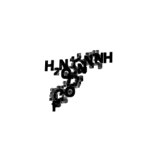 NC(=O)c1ccc(N2CCNCC2)nc1-c1ccc(Oc2cccc(F)c2)cc1